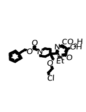 CCn1c(C2(COCCCl)CCN(C(=O)OCc3ccccc3)CC2)nc(C(=O)O)c(O)c1=O